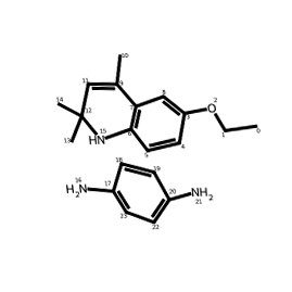 CCOc1ccc2c(c1)C(C)=CC(C)(C)N2.Nc1ccc(N)cc1